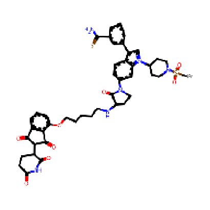 CC(C)S(=O)(=O)N1CCC(n2cc(-c3cccc(C(N)=S)c3)c3ccc(N4CCC(NCCCCCOc5cccc6c5C(=O)C(C5CCC(=O)NC5=O)C6=O)C4=O)cc32)CC1